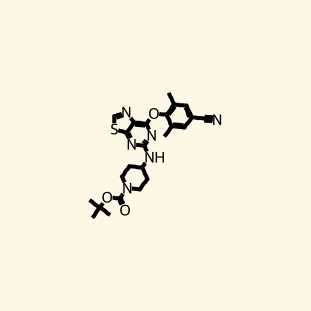 Cc1cc(C#N)cc(C)c1Oc1nc(NC2CCN(C(=O)OC(C)(C)C)CC2)nc2scnc12